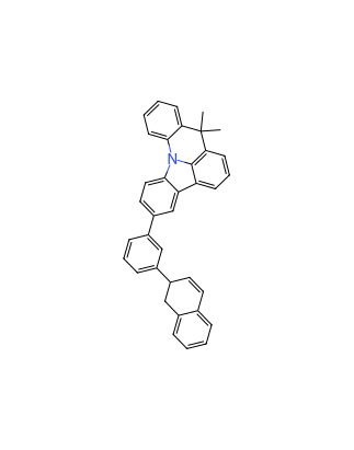 CC1(C)c2ccccc2-n2c3ccc(-c4cccc(C5C=Cc6ccccc6C5)c4)cc3c3cccc1c32